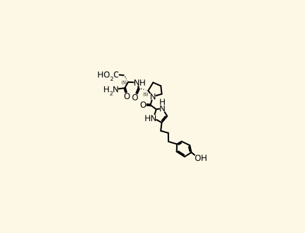 NC(=O)[C@H](CC(=O)O)NC(=O)[C@@H]1CCCN1C(=O)C1NC=C(CCCc2ccc(O)cc2)N1